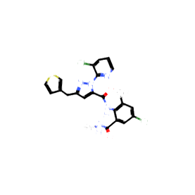 Cc1cc(Cl)cc(C(=O)NC(C)C)c1NC(=O)c1cc(Cc2ccsc2)nn1-c1ncccc1Cl